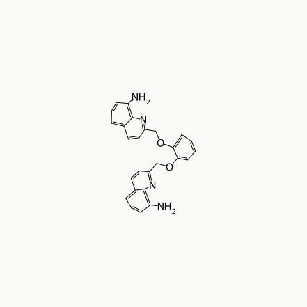 Nc1cccc2ccc(COc3ccccc3OCc3ccc4cccc(N)c4n3)nc12